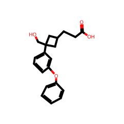 O=C(O)CCC1CC(CO)(c2cccc(Oc3ccccc3)c2)C1